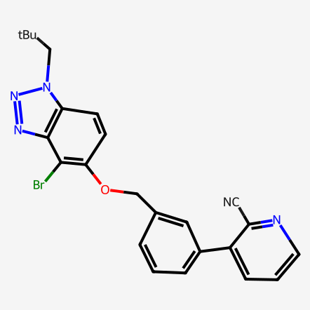 CC(C)(C)Cn1nnc2c(Br)c(OCc3cccc(-c4cccnc4C#N)c3)ccc21